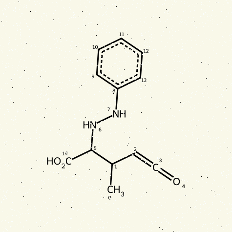 CC(C=C=O)C(NNc1ccccc1)C(=O)O